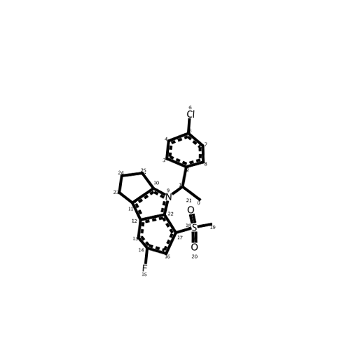 CC(c1ccc(Cl)cc1)n1c2c(c3cc(F)cc(S(C)(=O)=O)c31)CC[CH]2